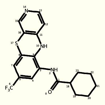 O=C(Nc1cc(C(F)(F)F)cc2c1Nc1ccncc1S2)C1CCCCC1